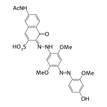 COc1cc(O)ccc1/N=N/c1cc(OC)c(N/N=C2\C(=O)c3ccc(NC(C)=O)cc3C=C2S(=O)(=O)O)cc1OC